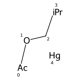 CC(=O)OCC(C)C.[Hg]